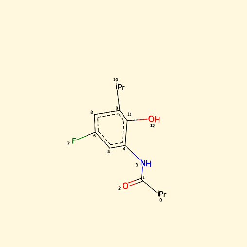 CC(C)C(=O)Nc1cc(F)cc(C(C)C)c1O